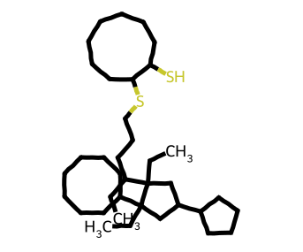 CCC(CCCSC1CCCCCCCC1S)C1(CC)CC(C2CCCC2)CC1(CC)C1CCCCCCC1